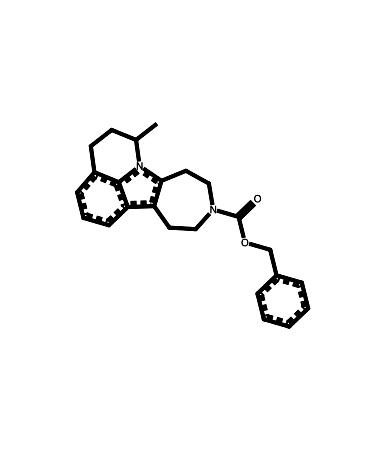 CC1CCc2cccc3c4c(n1c23)CCN(C(=O)OCc1ccccc1)CC4